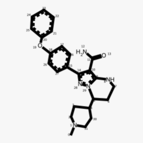 CN1CCC(C2CCNc3c(C(N)=O)c(-c4ccc(Oc5ccccc5)cc4)nn32)CC1